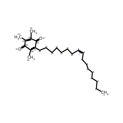 CCCCCCCC/C=C\CCCCCCCC1=C(C)C(=O)C(C)=C(C)C1=O